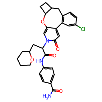 NC(=O)c1ccc(NC(=O)C(CC2CCCCO2)n2cc3c(cc2=O)-c2cc(Cl)ccc2CC2CCC2O3)cc1